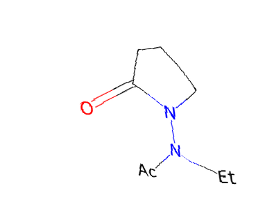 [CH2]CN(C(C)=O)N1CCCC1=O